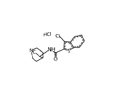 Cl.O=C(NC1CN2CCC1CC2)c1sc2ccccc2c1Cl